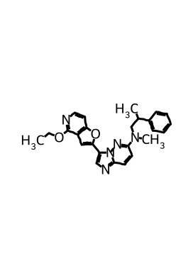 CCOc1nccc2oc(-c3cnc4ccc(N(C)CC(C)c5ccccc5)nn34)cc12